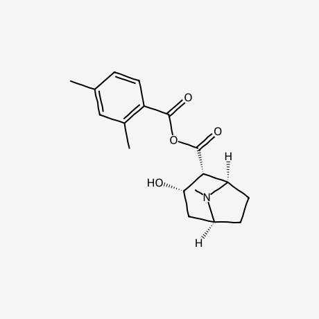 Cc1ccc(C(=O)OC(=O)[C@@H]2[C@H]3CC[C@@H](C[C@@H]2O)N3C)c(C)c1